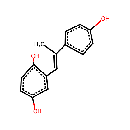 CC(=Cc1cc(O)ccc1O)c1ccc(O)cc1